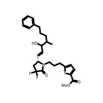 COC(=O)c1ccc(CCCN2C(=O)C(F)(F)C[C@@H]2/C=C/C(O)C(C)CCCc2ccccc2)s1